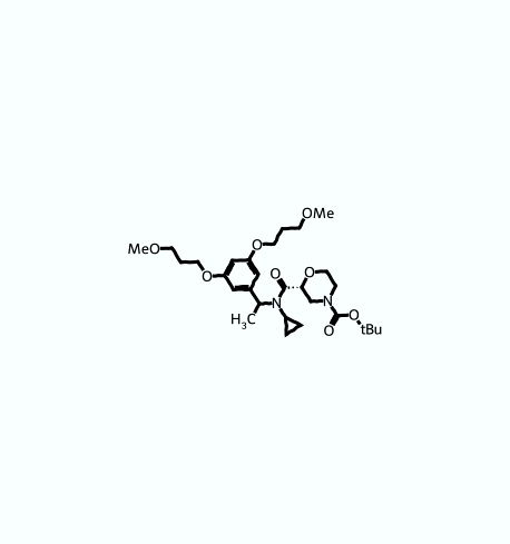 COCCCOc1cc(OCCCOC)cc(C(C)N(C(=O)[C@H]2CN(C(=O)OC(C)(C)C)CCO2)C2CC2)c1